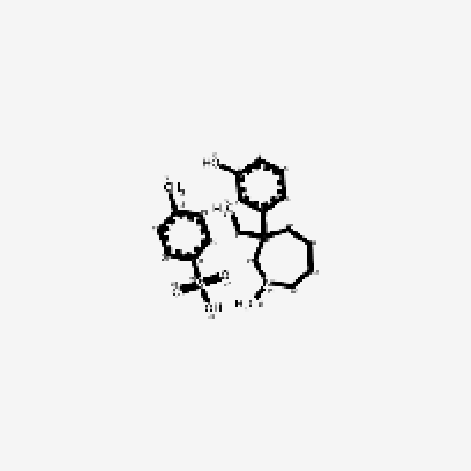 CCC1(c2cccc(O)c2)CCCCN(C)C1.Cc1ccc(S(=O)(=O)O)cc1